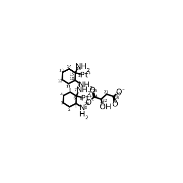 NC1CCCC[C]1(N)[Pt+].NC1CCCC[C]1(N)[Pt+].O=C([O-])CC(O)C(=O)[O-]